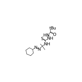 CC(C)(N=NC1CCCCC1)NC(=S)NNC(=O)C(C)(C)C